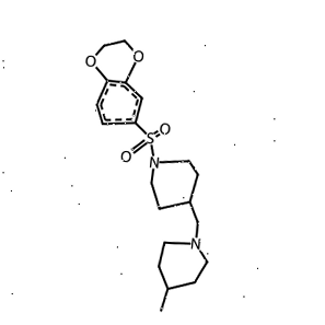 CC1CCN(CC2CCN(S(=O)(=O)c3ccc4c(c3)OCCO4)CC2)CC1